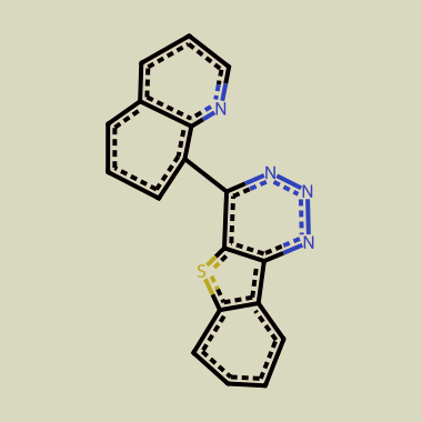 c1cnc2c(-c3nnnc4c3sc3ccccc34)cccc2c1